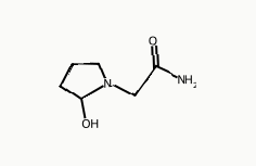 NC(=O)CN1CCCC1O